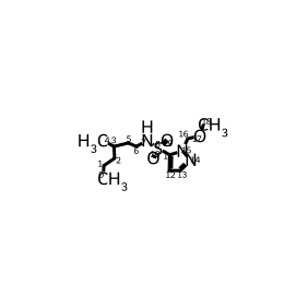 CCCC(C)CCNS(=O)(=O)c1ccnn1COC